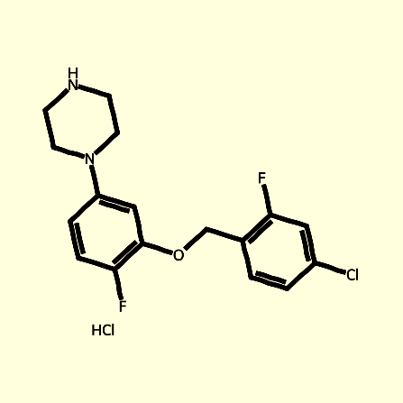 Cl.Fc1cc(Cl)ccc1COc1cc(N2CCNCC2)ccc1F